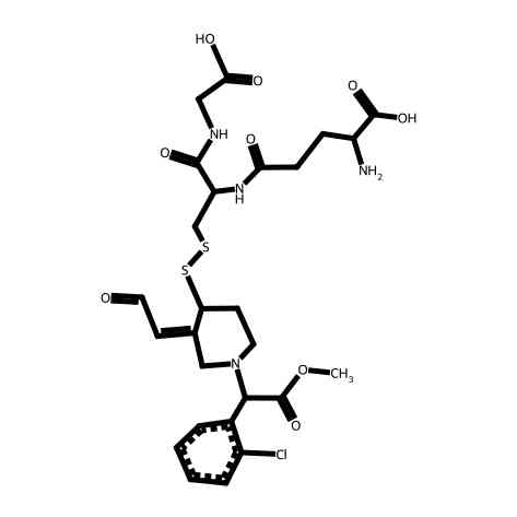 COC(=O)C(c1ccccc1Cl)N1CCC(SSCC(NC(=O)CCC(N)C(=O)O)C(=O)NCC(=O)O)/C(=C\C=O)C1